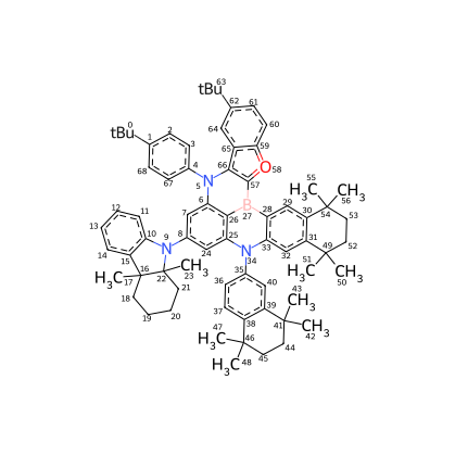 CC(C)(C)c1ccc(N2c3cc(N4c5ccccc5C5(C)CCCCC45C)cc4c3B(c3cc5c(cc3N4c3ccc4c(c3)C(C)(C)CCC4(C)C)C(C)(C)CCC5(C)C)c3oc4ccc(C(C)(C)C)cc4c32)cc1